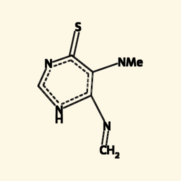 C=Nc1[nH]cnc(=S)c1NC